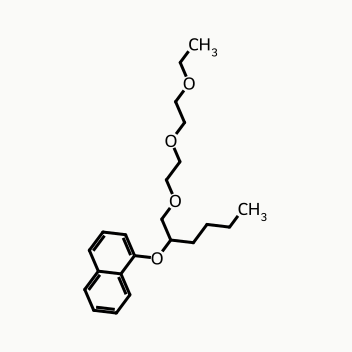 CCCCC(COCCOCCOCC)Oc1cccc2ccccc12